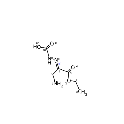 CCOC(=O)/C(CN)=N/NC(=O)O